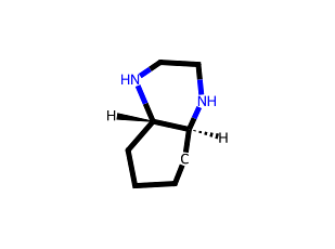 C1CC[C@@H]2NCCN[C@H]2C1